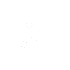 CCOC(=O)C1C[C@]2(C)C3Cc4ccccc4[C@]2(C)CC1N3Cc1ccccc1